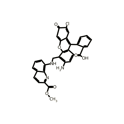 COC(=O)c1ccc2cccc(NCc3c(N)ccc4c(-c5ccccc5C(=O)O)c5cc(Cl)c(=O)cc-5oc34)c2n1